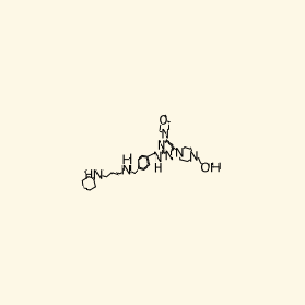 OCCN1CCN(c2cc(N3CCOCC3)nc(NCc3ccc(CNCCCNC4CCCCC4)cc3)n2)CC1